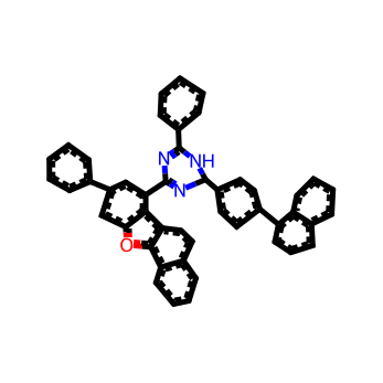 c1ccc(C2=NC(c3cc(-c4ccccc4)cc4oc5c6ccccc6ccc5c34)=NC(c3ccc(-c4cccc5ccccc45)cc3)N2)cc1